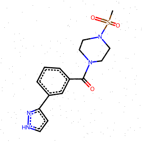 CS(=O)(=O)N1CCN(C(=O)c2cccc(-c3cc[nH]n3)c2)CC1